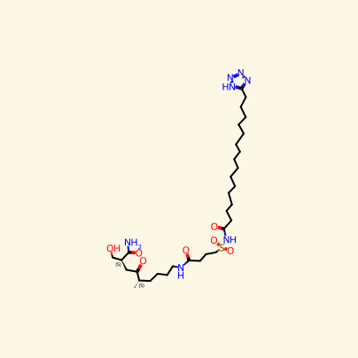 C[C@@H](CCCCNC(=O)CCCS(=O)(=O)NC(=O)CCCCCCCCCCCCCCCc1nnn[nH]1)C(=O)C[C@@H](CO)C(N)=O